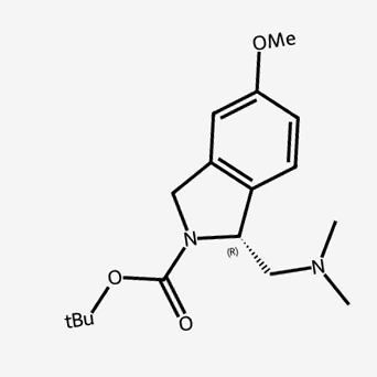 COc1ccc2c(c1)CN(C(=O)OC(C)(C)C)[C@H]2CN(C)C